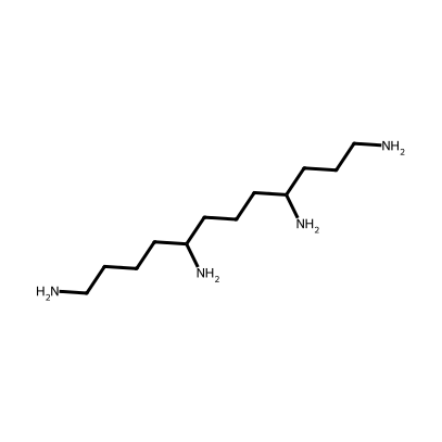 NCCCCC(N)CCCC(N)CCCN